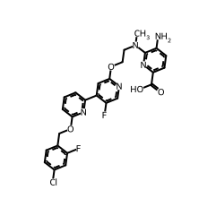 CN(CCOc1cc(-c2cccc(OCc3ccc(Cl)cc3F)n2)c(F)cn1)c1nc(C(=O)O)ccc1N